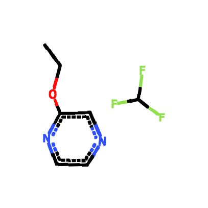 CCOc1cnccn1.FC(F)F